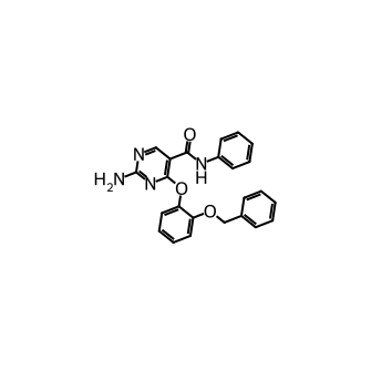 Nc1ncc(C(=O)Nc2ccccc2)c(Oc2ccccc2OCc2ccccc2)n1